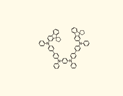 c1ccc(N(c2ccc(-c3ccc(N(c4ccccc4)c4ccc5c(c4)C4(CCCC4)c4ccccc4-5)cc3)cc2)c2ccc(N(c3ccccc3)c3ccc(-c4ccc(N(c5ccccc5)c5ccc6c(c5)C5(CCCC5)c5ccccc5-6)cc4)cc3)cc2)cc1